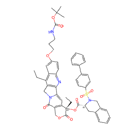 CCc1c2c(nc3ccc(OCCCNC(=O)OC(C)(C)C)cc13)-c1cc3c(c(=O)n1C2)COC(=O)[C@@]3(CC)OC(=O)[C@H]1Cc2ccccc2CN1S(=O)(=O)c1ccc(-c2ccccc2)cc1